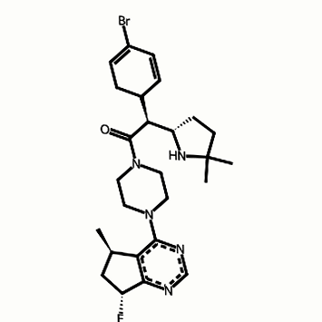 C[C@@H]1C[C@@H](F)c2ncnc(N3CCN(C(=O)[C@@H](C4C=CC(Br)=CC4)[C@@H]4CCC(C)(C)N4)CC3)c21